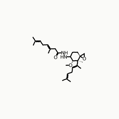 CO[C@@H]1C(NNC(=O)C/C(C)=C/CC=C(C)C)CC[C@]2(CO2)[C@@]1(C)/C(C)=C/CC=C(C)C